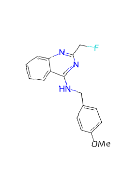 COc1ccc(CNc2nc(CF)nc3ccccc23)cc1